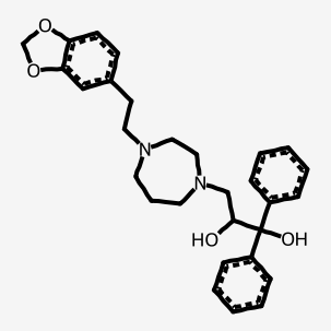 OC(CN1CCCN(CCc2ccc3c(c2)OCO3)CC1)C(O)(c1ccccc1)c1ccccc1